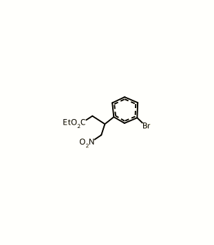 CCOC(=O)CC(C[N+](=O)[O-])c1cccc(Br)c1